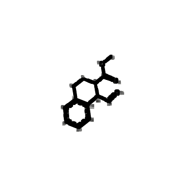 COC(=O)C1CCc2ccccc2C1C=O